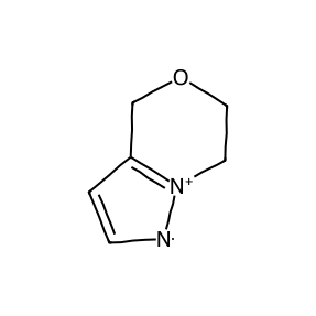 C1=CC2=[N+](CCOC2)[N]1